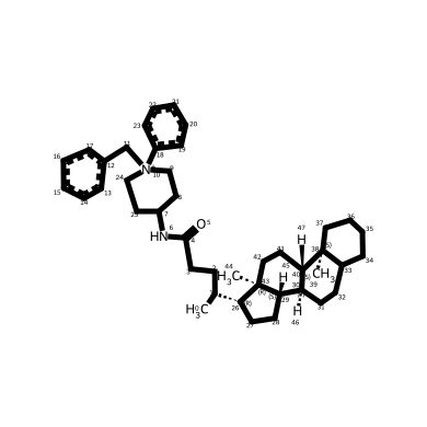 CC(CCC(=O)NC1CC[N+](Cc2ccccc2)(c2ccccc2)CC1)[C@H]1CC[C@H]2[C@@H]3CCC4CCCC[C@]4(C)[C@H]3CC[C@]12C